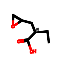 CC[C@H](CC1CO1)C(=O)O